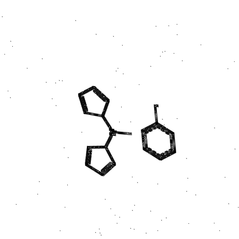 [CH2]c1ccccc1.[CH3][Zr]([CH]1C=CC=C1)[CH]1C=CC=C1